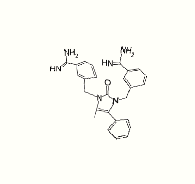 Cc1c(-c2ccccc2)n(Cc2cccc(C(=N)N)c2)c(=O)n1Cc1cccc(C(=N)N)c1